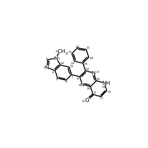 Cn1cnc2ccc(-c3nc4c(=O)cc[nH]c4nc3-c3ccccc3)cc21